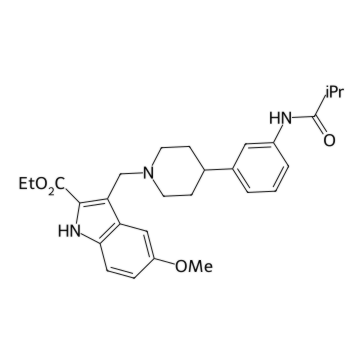 CCOC(=O)c1[nH]c2ccc(OC)cc2c1CN1CCC(c2cccc(NC(=O)C(C)C)c2)CC1